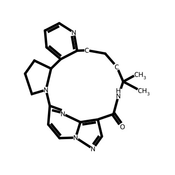 CC1(C)CCCc2ncccc2C2CCCN2c2ccn3ncc(c3n2)C(=O)N1